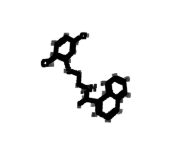 CC(NCCSc1cc(Cl)ccc1Cl)c1cccc2ccccc12